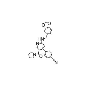 N#Cc1ccc(-c2nc(NCc3ccc4c(c3)OCO4)ncc2C(=O)N2CCCC2)cc1